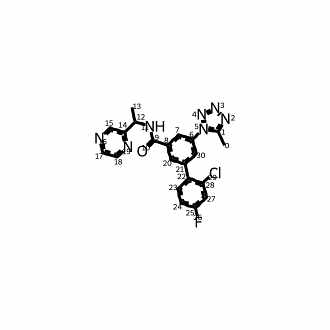 Cc1nnnn1-c1cc(C(=O)NC(C)c2cnccn2)cc(-c2ccc(F)cc2Cl)c1